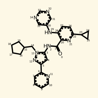 O=C(Nc1cc(-c2ccccn2)nn1CC1CCCC1)c1nc(C2CC2)ccc1Nc1cncnc1